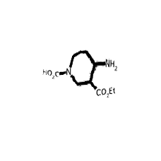 CCOC(=O)C1CN(C(=O)O)CCC1N